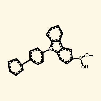 COB(O)c1ccc2c(c1)c1ccccc1n2-c1ccc(-c2ccccc2)cc1